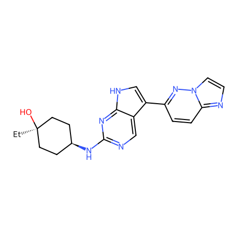 CC[C@]1(O)CC[C@@H](Nc2ncc3c(-c4ccc5nccn5n4)c[nH]c3n2)CC1